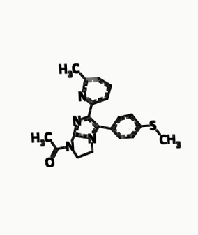 CSc1ccc(-c2c(-c3cccc(C)n3)nc3n2CCN3C(C)=O)cc1